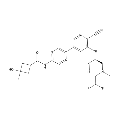 CN(CC(F)F)C[C@@H](C=O)Nc1cc(-c2cnc(NC(=O)C3CC(C)(O)C3)cn2)cnc1C#N